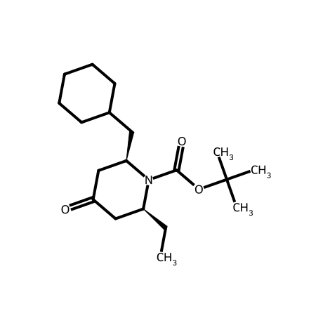 CC[C@H]1CC(=O)C[C@@H](CC2CCCCC2)N1C(=O)OC(C)(C)C